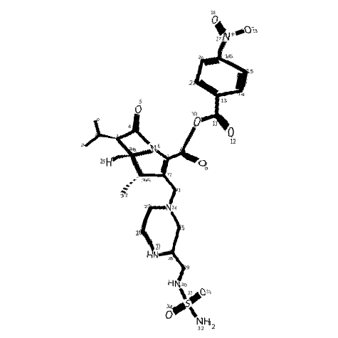 CC(C)[C@H]1C(=O)N2C(C(=O)OC(=O)c3ccc([N+](=O)[O-])cc3)=C(CN3CCNC(CNS(N)(=O)=O)C3)[C@H](C)[C@H]12